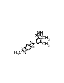 Cc1nc2cc3sc(-c4cc(C)c(C)c(S(=O)(=O)O)c4)nc3cc2s1